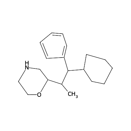 CC(C1CNCCO1)C(c1ccccc1)C1CCCCC1